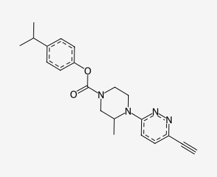 C#Cc1ccc(N2CCN(C(=O)Oc3ccc(C(C)C)cc3)CC2C)nn1